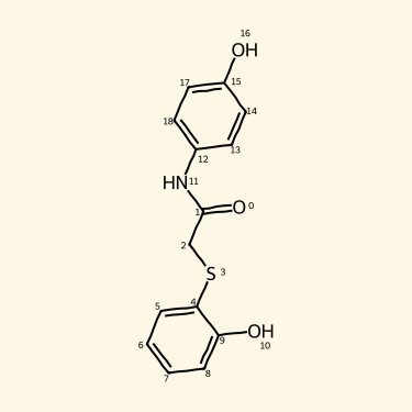 O=C(CSc1ccccc1O)Nc1ccc(O)cc1